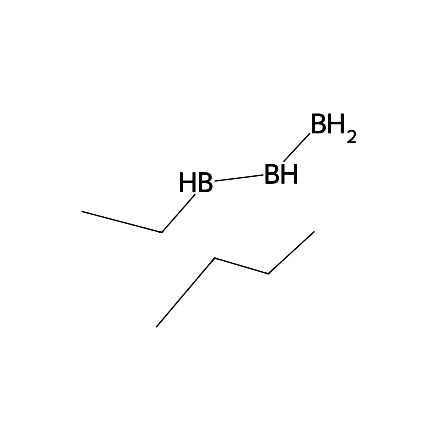 BBBCC.CCCC